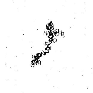 CC(C)Oc1cc2c(cc1NC(=O)c1cnn3cccnc13)CN(C[C@@H](F)C1CCN(CC3CN(c4ccc5c(c4)CN(C4CCC(=O)NC4=O)C5=O)C3)CC1)C2=O